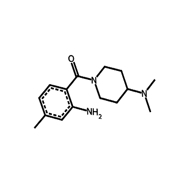 Cc1ccc(C(=O)N2CCC(N(C)C)CC2)c(N)c1